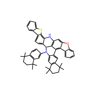 CC1(C)CCC(C)(C)c2cc(N3B4c5ccc6c(sc7ccccc76)c5Nc5cc6oc7ccccc7c6c(c54)-c4cc5c(cc43)C(C)(C)CCC5(C)C)ccc21